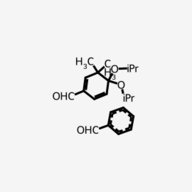 CC(C)OC1(OC(C)C)C=CC(C=O)=CC1(C)C.O=Cc1ccccc1